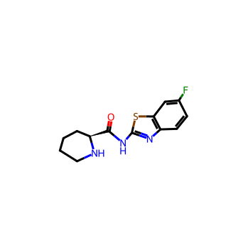 O=C(Nc1nc2ccc(F)cc2s1)[C@@H]1CCCCN1